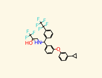 O[C@H](CNC(c1cccc(Oc2cccc(C3CC3)c2)c1)c1cccc(C(F)(F)C(F)(F)F)c1)C(F)(F)F